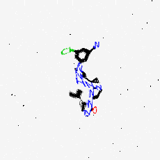 CC(C)[C@H]1CN(C)C(=O)N1c1ccnc(NC2(c3cn(-c4cc(Cl)cc(C#N)c4)cn3)CC2)n1